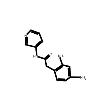 Nc1ccc(CC(=O)Nc2cccnc2)c(N)c1